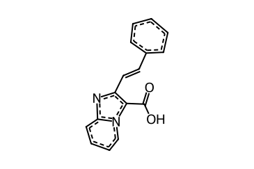 O=C(O)c1c(C=Cc2ccccc2)nc2ccccn12